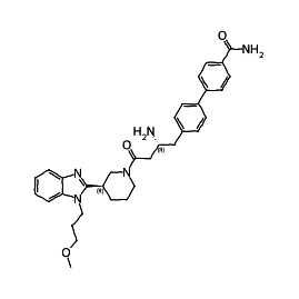 COCCCn1c([C@@H]2CCCN(C(=O)C[C@H](N)Cc3ccc(-c4ccc(C(N)=O)cc4)cc3)C2)nc2ccccc21